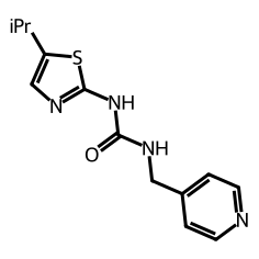 CC(C)c1cnc(NC(=O)NCc2ccncc2)s1